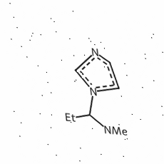 CCC(NC)n1ccnc1